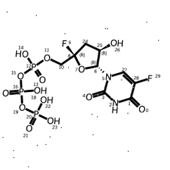 O=c1[nH]c(=O)n([C@@H]2O[C@](F)(COP(=O)(O)OP(=O)(O)OP(=O)(O)O)C[C@H]2O)cc1F